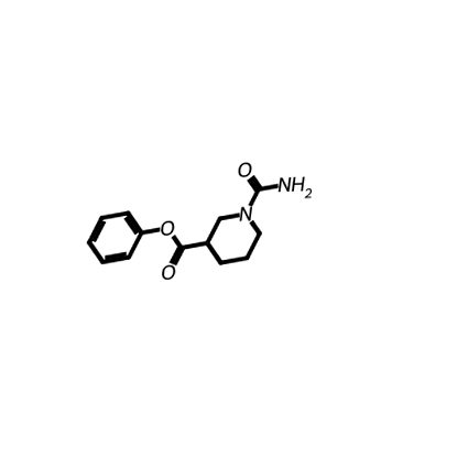 NC(=O)N1CCCC(C(=O)Oc2ccccc2)C1